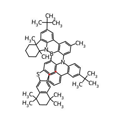 Cc1cc2c3c(c1)N(c1ccc(C(C)(C)C)cc1-c1ccccc1)c1cc4c(cc1B3N1c3c-2cc(C(C)(C)C)cc3C2(C)CCCCC12C)sc1cc2c(cc14)C(C)(C)CCC2(C)C